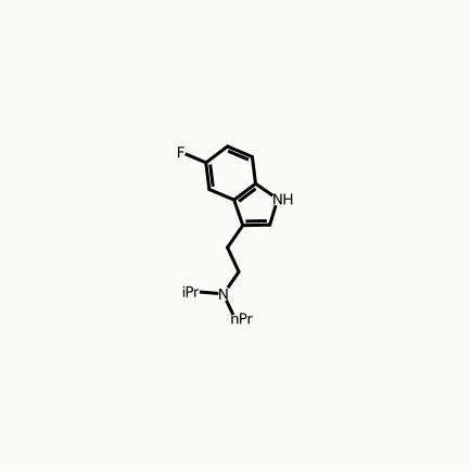 CCCN(CCc1c[nH]c2ccc(F)cc12)C(C)C